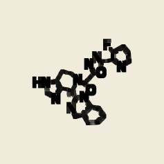 O=C(c1nnc(-c2ncccc2F)o1)N1CCc2[nH]cnc2[C@H]1c1ncc2ccccc2n1